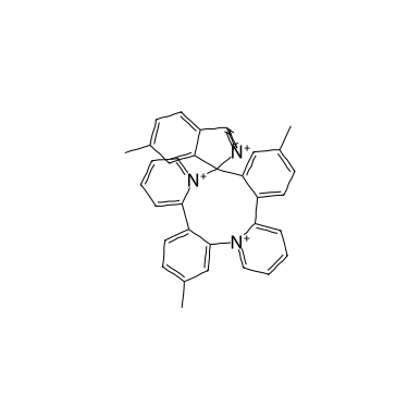 Cc1ccc2c(c1)-[n+]1ccccc1-c1ccc(C)cc1C1(c3cc(C)ccc3-c3cccc[n+]31)[n+]1ccccc1-2